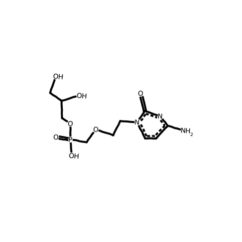 Nc1ccn(CCOCP(=O)(O)OCC(O)CO)c(=O)n1